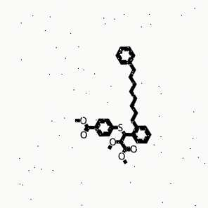 COC(=O)c1ccc(SC(c2ccccc2CCCCCCCCc2ccccc2)C(OC)C(=O)OC)cc1